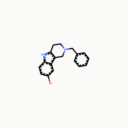 Brc1ccc2[nH]c3c(c2c1)CN(Cc1ccccc1)CC3